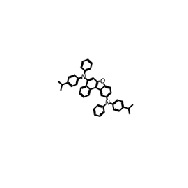 CC(C)c1ccc(N(c2ccccc2)c2ccc3oc4cc(N(c5ccccc5)c5ccc(C(C)C)cc5)c5ccccc5c4c3c2)cc1